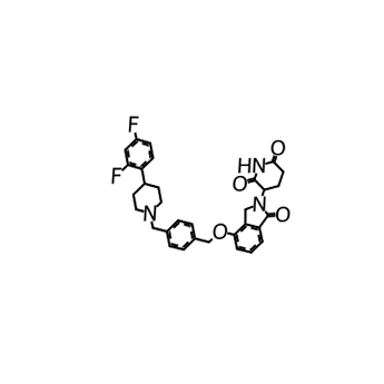 O=C1CCC(N2Cc3c(OCc4ccc(CN5CCC(c6ccc(F)cc6F)CC5)cc4)cccc3C2=O)C(=O)N1